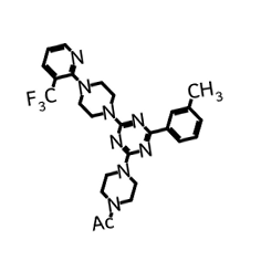 CC(=O)N1CCN(c2nc(-c3cccc(C)c3)nc(N3CCN(c4ncccc4C(F)(F)F)CC3)n2)CC1